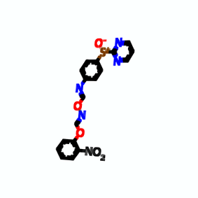 O=[N+]([O-])c1ccccc1O/C=N/O/C=N/c1ccc([S+]([O-])c2ncccn2)cc1